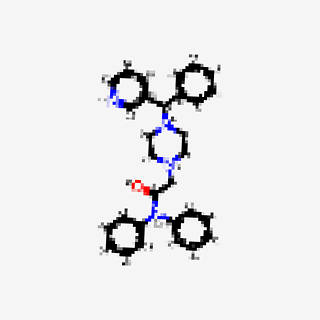 O=C(CN1CCN(C(c2ccccc2)c2cccnc2)CC1)N(c1ccccc1)c1ccccc1